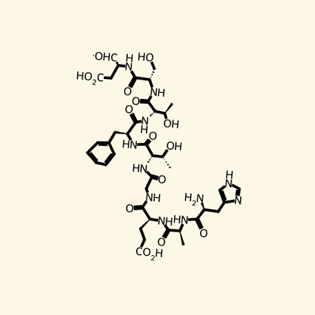 C[C@H](NC(=O)[C@@H](N)Cc1c[nH]cn1)C(=O)N[C@@H](CCC(=O)O)C(=O)NCC(=O)N[C@H](C(=O)N[C@@H](Cc1ccccc1)C(=O)N[C@H](C(=O)N[C@@H](CO)C(=O)N[C@H]([C]=O)CC(=O)O)[C@@H](C)O)[C@@H](C)O